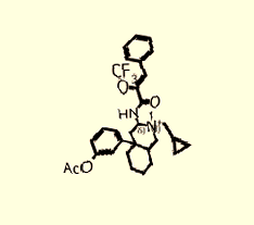 CC(=O)Oc1cccc(C23CCCCC2C[N@@+](C)(CC2CC2)[C@H](NC(=O)C(=Cc2ccccc2)OC(F)(F)F)C3)c1